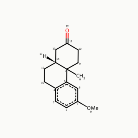 COc1ccc2c(c1)C1(C)CCC(=O)C[C@H]1CC2